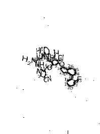 N#Cc1cncc(COc2cc(O[C@H]3CCc4c(-c5ccccc5F)cccc43)c(Cl)cc2CN[C@@H](CNC(=N)N)C(=O)O)c1